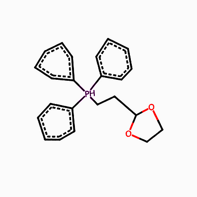 c1ccc([PH](CCC2OCCO2)(c2ccccc2)c2ccccc2)cc1